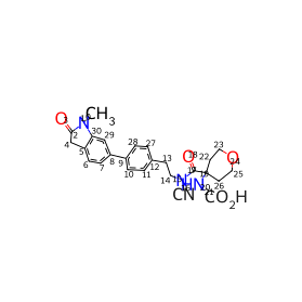 CN1C(=O)Cc2ccc(-c3ccc(CCN(C#N)C(=O)C4(NC(=O)O)CCOCC4)cc3)cc21